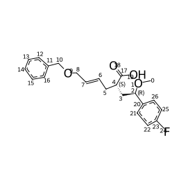 CO[C@H](C[C@H](CC=CCOCc1ccccc1)C(=O)O)c1ccc(F)cc1